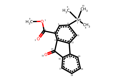 COC(=O)c1c[c]([Sn]([CH3])([CH3])[CH3])cc2c1C(=O)c1ccccc1-2